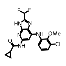 COc1c(Cl)cccc1Nc1cc(NC(=O)C2CC2)nc2[nH]c(C(F)F)nc12